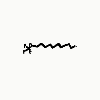 [CH2]CCCCCCCCCOC(F)(F)F